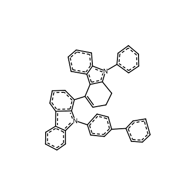 C1=C(c2cccc3c4ccccc4n(-c4ccc(-c5ccccc5)cc4)c23)c2c(n(-c3ccccc3)c3ccccc23)CC1